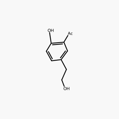 CC(=O)c1cc(CCO)ccc1O